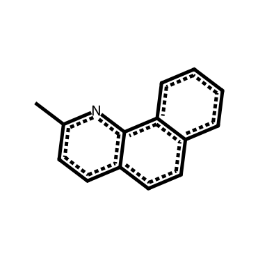 Cc1ccc2ccc3ccccc3c2n1